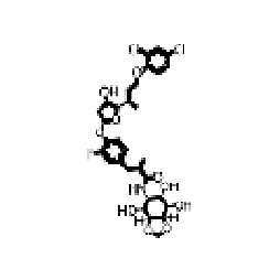 CC(=Cc1ccc(O[C@H]2C[C@@H](O)[C@@H](C(C)=CCOc3ccc(Cl)cc3Cl)O2)c(F)c1)C(=O)N[C@@H]1[C@H](O)[C@@H](O)[C@H]2OCO[C@H]2[C@@H]1O